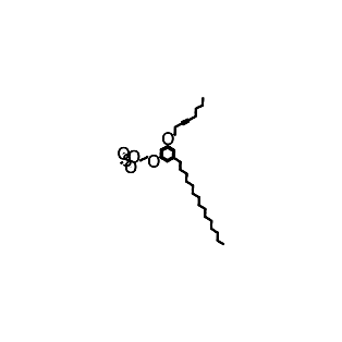 CCCCC#CCCOc1cc(CCCCCCCCCCCCCCC)cc(OCCOS(C)(=O)=O)c1